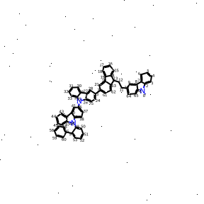 Cn1c2ccccc2c2cc(CCC3c4ccccc4-c4cc(-c5ccc6c(c5)c5ccccc5n6-c5ccc6c(c5)c5ccccc5n6-c5ccccc5-c5ccccc5)ccc43)ccc21